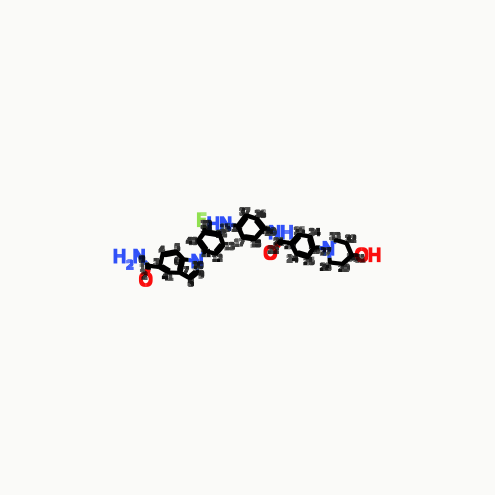 NC(=O)c1ccc2c(ccn2-c2ccc(Nc3ccc(NC(=O)c4ccc(N5CCC(O)CC5)cc4)cc3)c(F)c2)c1